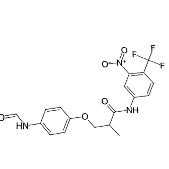 CC(COc1ccc(NC=O)cc1)C(=O)Nc1ccc(C(F)(F)F)c([N+](=O)[O-])c1